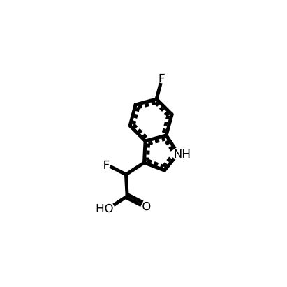 O=C(O)C(F)c1c[nH]c2cc(F)ccc12